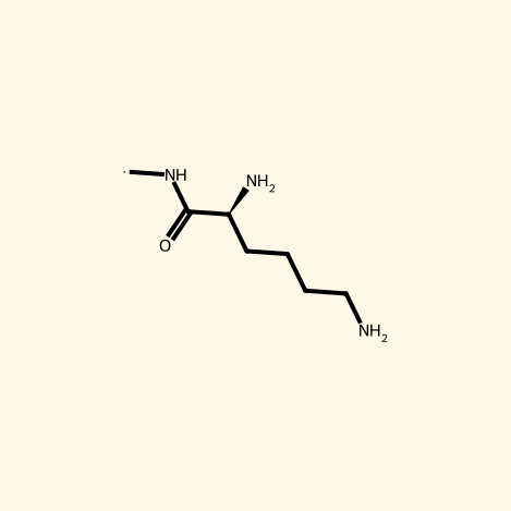 [CH2]NC(=O)[C@@H](N)CCCCN